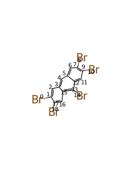 Brc1cc2cc3cc(Br)c(Br)cc3c(Br)c2cc1Br